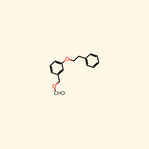 O=[C]OCc1cccc(OCCc2ccccc2)c1